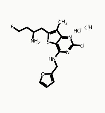 Cc1c(CC(N)CCF)sc2c(NCc3ccco3)nc(Cl)nc12.Cl.Cl